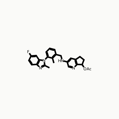 CC(=O)OC1CCc2cc(NCc3cccc(-n4c(C)nc5ccc(F)cc54)c3C)cnc21